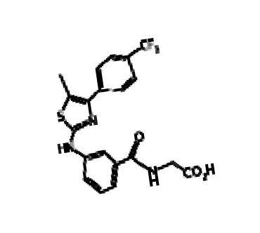 Cc1sc(Nc2cccc(C(=O)NCC(=O)O)c2)nc1-c1ccc(C(F)(F)F)cc1